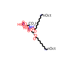 CCCCCCCC/C=C\CCCCCCCC(=O)OC[C@H](COP(=O)(O)N[C@@H](COP(=O)(O)O)C(=O)O)OC(=O)CCCCCCC/C=C\CCCCCCCC